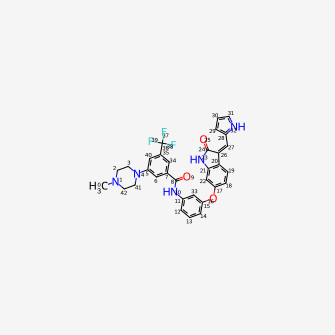 CN1CCN(c2cc(C(=O)Nc3cccc(Oc4ccc5c(c4)NC(=O)C5=Cc4ccc[nH]4)c3)cc(C(F)(F)F)c2)CC1